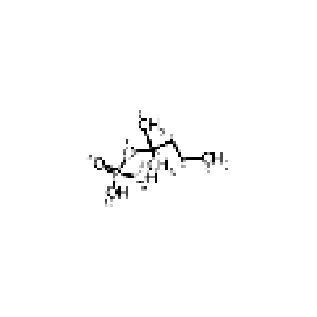 CCCC(C)(C)OP(=O)(O)O